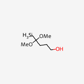 COC([SiH3])(CCCO)OC